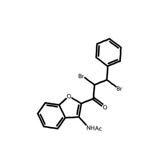 CC(=O)Nc1c(C(=O)C(Br)C(Br)c2ccccc2)oc2ccccc12